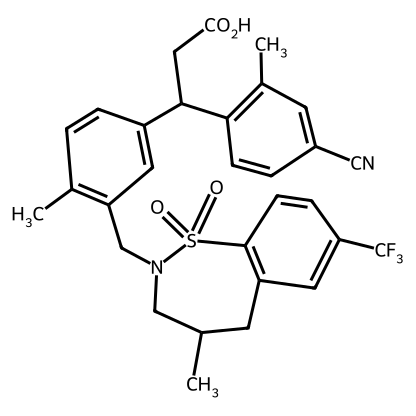 Cc1ccc(C(CC(=O)O)c2ccc(C#N)cc2C)cc1CN1CC(C)Cc2cc(C(F)(F)F)ccc2S1(=O)=O